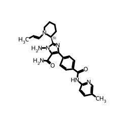 CC=CN1CCCC[C@H]1c1nc(-c2ccc(C(=O)Nc3ccc(C)cn3)cc2)c(C(N)=O)n1N